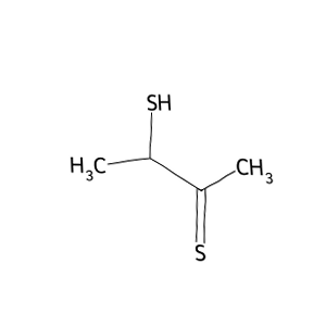 CC(=S)C(C)S